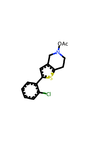 CC(=O)ON1CCc2sc(-c3ccccc3Cl)cc2C1